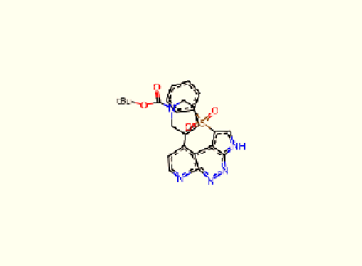 CC(C)(C)OC(=O)N1CCC=C(c2ccnc3nnc4[nH]cc(S(=O)(=O)c5ccccc5)c4c23)C1